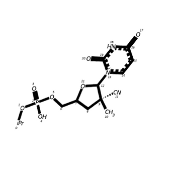 CC(C)OP(=O)(O)OCC1C[C@@](C)(C#N)C(n2ccc(=O)[nH]c2=O)O1